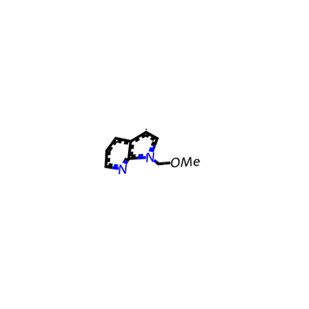 COCn1c[c]c2cccnc21